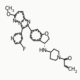 C=CC(=O)N1CCC(N[C@H]2COc3cc(-c4nc5ccc(OC)nn5c4-c4cncc(F)c4)ccc32)CC1